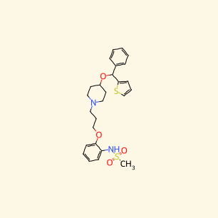 CS(=O)(=O)Nc1ccccc1OCCCN1CCC(OC(c2ccccc2)c2cccs2)CC1